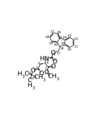 COC(=O)[C@@H](CC(=O)OC(C)(C)C)NC(=O)OCC1c2ccccc2-c2ccccc21